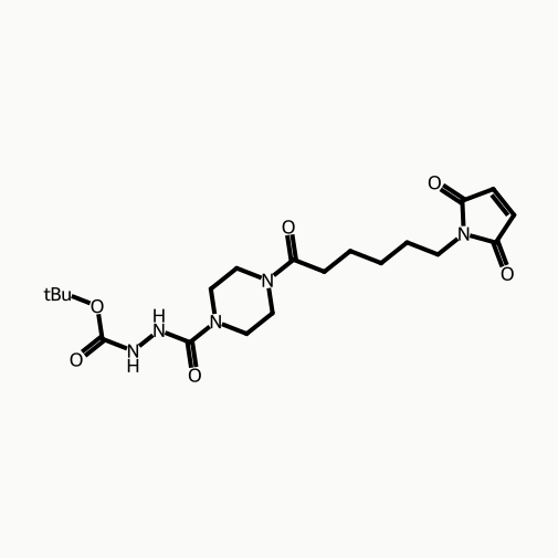 CC(C)(C)OC(=O)NNC(=O)N1CCN(C(=O)CCCCCN2C(=O)C=CC2=O)CC1